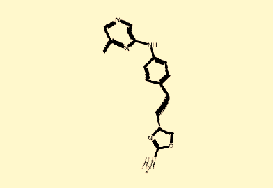 Cc1cncc(Nc2ccc(CC[C@H]3COC(N)=N3)cc2)n1